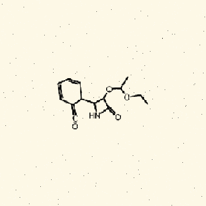 CCOC(C)OC1C(=O)NC1C1C=CC=CC1=C=O